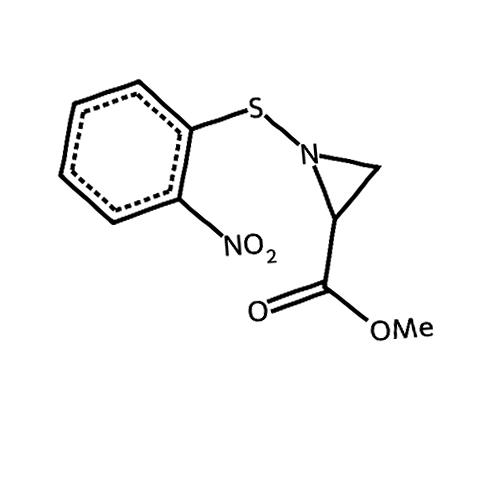 COC(=O)C1CN1Sc1ccccc1[N+](=O)[O-]